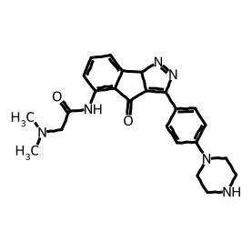 CN(C)CC(=O)Nc1cccc2c1C(=O)C1=C(c3ccc(N4CCNCC4)cc3)N=NC12